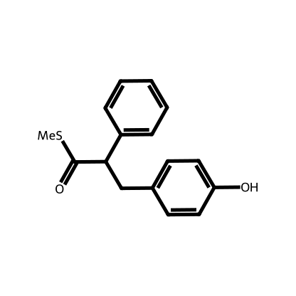 CSC(=O)C(Cc1ccc(O)cc1)c1ccccc1